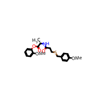 COc1ccc(CSCCC(=O)N[C@@H](C)C(=O)Oc2ccccc2OC)cc1